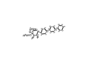 CCCCCCOC1(CCCCC)C=CC(c2ccc(-c3ccc(-c4ccccc4)cc3)cc2)=C(F)C1F